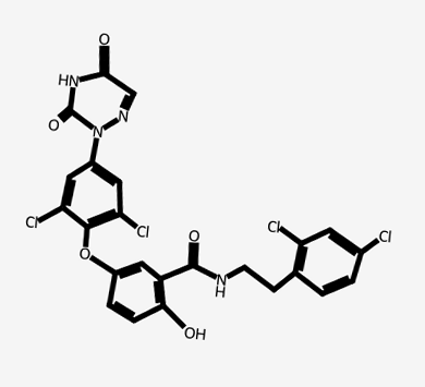 O=C(NCCc1ccc(Cl)cc1Cl)c1cc(Oc2c(Cl)cc(-n3ncc(=O)[nH]c3=O)cc2Cl)ccc1O